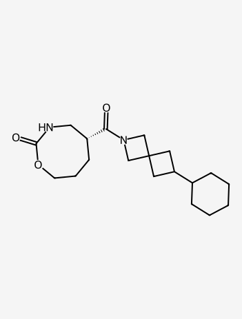 O=C1NC[C@H](C(=O)N2CC3(CC(C4CCCCC4)C3)C2)CCCO1